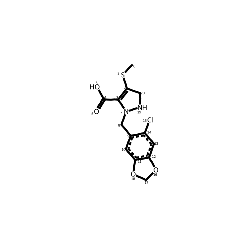 CSC1=C(C(=O)O)N(Cc2cc3c(cc2Cl)OCO3)NC1